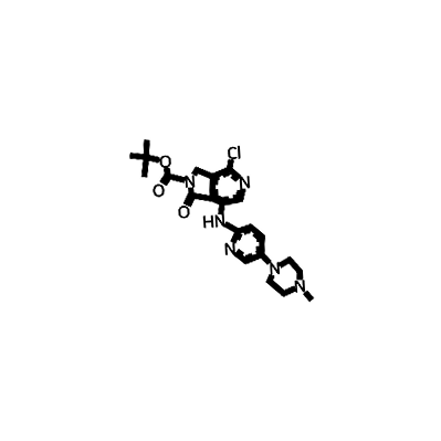 CN1CCN(c2ccc(Nc3cnc(Cl)c4c3C(=O)N(C(=O)OC(C)(C)C)C4)nc2)CC1